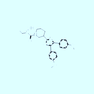 CCN(O)C(=O)N1CCCC(c2nc(-c3ccc(OC)cc3)c(-c3ccc(OC)cc3)o2)C1